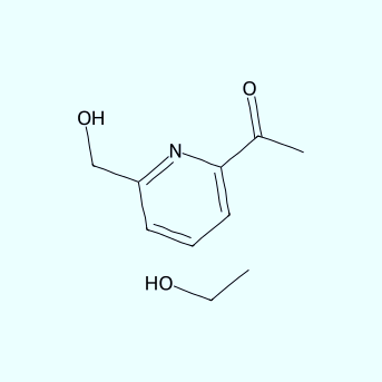 CC(=O)c1cccc(CO)n1.CCO